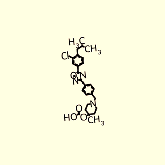 CC(C)Cc1ccc(-c2nc(-c3ccc(CN4CCC(C)(OC(=O)O)CC4)cc3)no2)cc1Cl